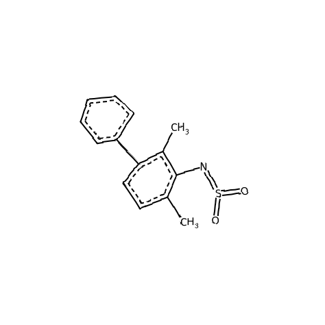 Cc1ccc(-c2ccccc2)c(C)c1N=S(=O)=O